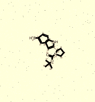 Bc1ccc2[nH]c([C@@H]3CCCN3C(=O)OC(C)(C)C)cc2c1